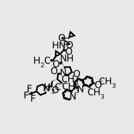 C=CC1CC1(NC(=O)[C@@H]1C[C@@H](Oc2cc(-c3ccccn3)nc3c(C)c(OC)ccc23)CN1C(=O)[C@@H](CC(=O)N1CCC(C(F)(F)F)CC1)C(C)(C)C)C(=O)NS(=O)(=O)C1CC1